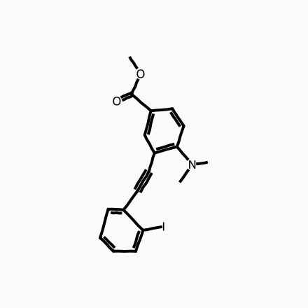 COC(=O)c1ccc(N(C)C)c(C#Cc2ccccc2I)c1